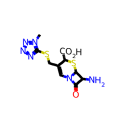 Cn1nnnc1SCC1=CN2C(=O)C(N)C2SC1C(=O)O